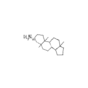 CC12CCCC1C1CCC3(C)C[C@H](N)CCC3(C)C1CC2